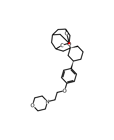 c1cc([C@@H]2CCC[C@]3(CC4CC5CC(C4)CC(C5)OO3)C2)ccc1OCCN1CCOCC1